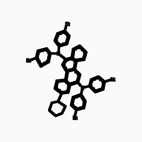 CCc1ccc(N(c2ccc(CC)cc2)c2cc3c4ccc(C5CCCCC5)cc4c(N(c4ccc(CC)cc4)c4ccc(CC)cc4)cc3c3ccccc23)cc1